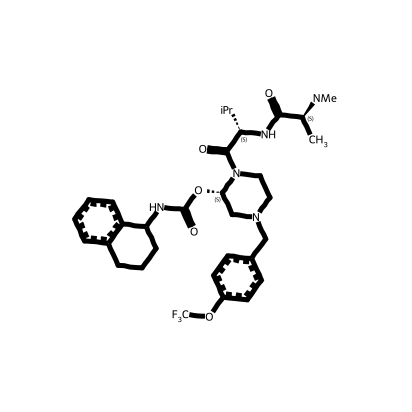 CN[C@@H](C)C(=O)N[C@H](C(=O)N1CCN(Cc2ccc(OC(F)(F)F)cc2)C[C@@H]1OC(=O)NC1CCCc2ccccc21)C(C)C